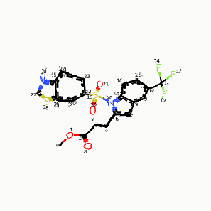 COC(=O)CCc1cc2cc(C(F)(F)F)ccc2n1S(=O)(=O)c1ccc2ncsc2c1